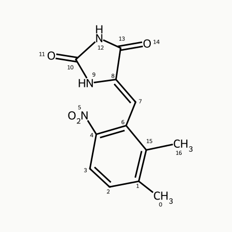 Cc1ccc([N+](=O)[O-])c(C=C2NC(=O)NC2=O)c1C